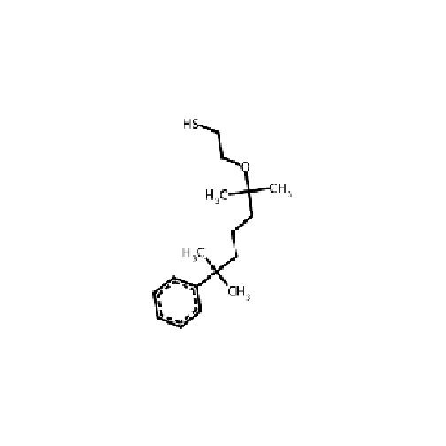 CC(C)(CCCC(C)(C)c1ccccc1)OCCS